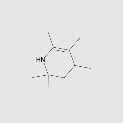 CC1=C(C)C(C)CC(C)(C)N1